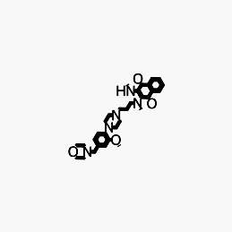 CNC1=C(N(C)CCCN2CCN(c3ccc(CN4CCOCC4)cc3OC)CC2)C(=O)c2ccccc2C1=O